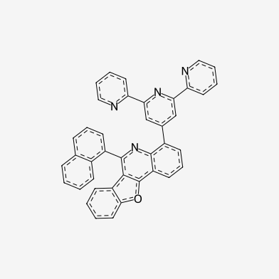 c1ccc(-c2cc(-c3cccc4c3nc(-c3cccc5ccccc35)c3c5ccccc5oc43)cc(-c3ccccn3)n2)nc1